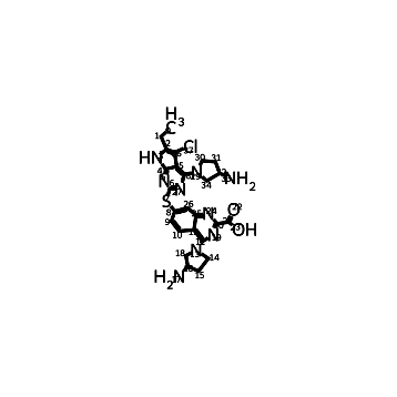 CCc1[nH]c2nc(Sc3ccc4c(N5CCC(N)C5)nc(C(=O)O)nc4c3)nc(N3CCC(N)C3)c2c1Cl